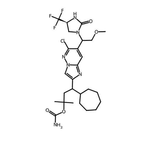 COCC(c1cc2nc(C(CC(C)(C)OC(N)=O)C3CCCCCC3)cn2nc1Cl)N1C[C@@H](C(F)(F)F)NC1=O